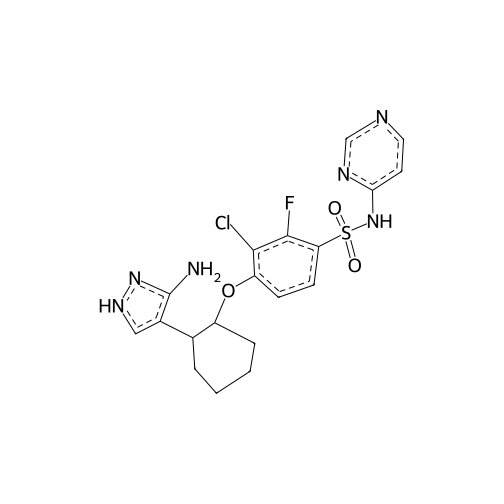 Nc1n[nH]cc1C1CCCCC1Oc1ccc(S(=O)(=O)Nc2ccncn2)c(F)c1Cl